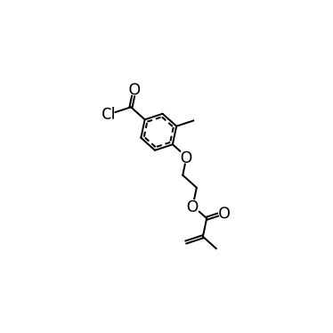 C=C(C)C(=O)OCCOc1ccc(C(=O)Cl)cc1C